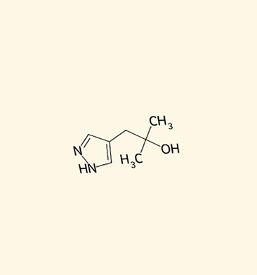 CC(C)(O)Cc1cn[nH]c1